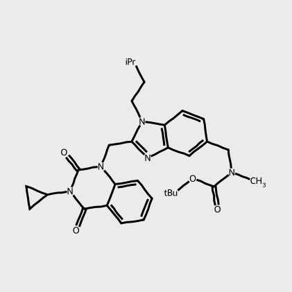 CC(C)CCn1c(Cn2c(=O)n(C3CC3)c(=O)c3ccccc32)nc2cc(CN(C)C(=O)OC(C)(C)C)ccc21